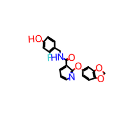 O=C(NCc1ccc(O)cc1F)c1cccnc1Oc1ccc2c(c1)OCO2